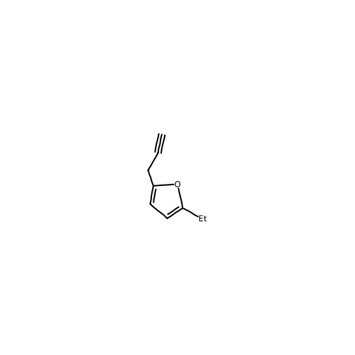 C#CCc1ccc(CC)o1